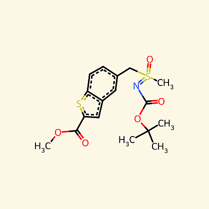 COC(=O)c1cc2cc(CS(C)(=O)=NC(=O)OC(C)(C)C)ccc2s1